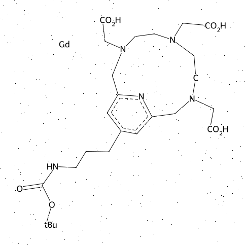 CC(C)(C)OC(=O)NCCCc1cc2nc(c1)CN(CC(=O)O)CCN(CC(=O)O)CCN(CC(=O)O)C2.[Gd]